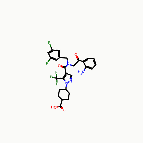 Nc1ccccc1C(=O)CN(Cc1cc(F)cc(F)c1)C(=O)c1cnn(C2CCC(C(=O)O)CC2)c1C(F)(F)F